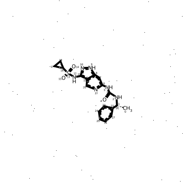 C[C@@H](NC(=O)Nc1cc2[nH]nc(NS(=O)(=O)C3CC3)c2cn1)c1ccccc1